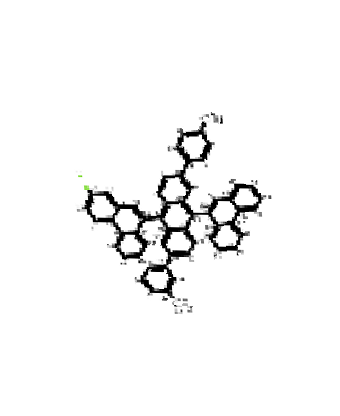 CC(C)(C)c1ccc(-c2ccc3c(-c4cc5cc(F)ccc5c5ccccc45)c4cc(-c5cccc(C(F)(F)F)c5)ccc4c(-c4cc5ccccc5c5ccccc45)c3c2)cc1